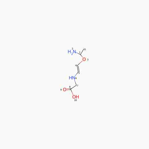 CC(N)OC=CNCC(=O)O